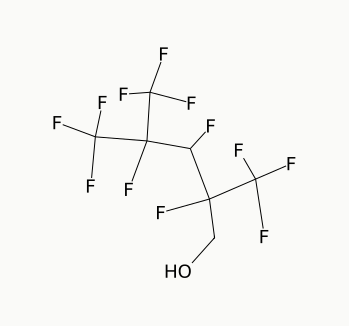 OCC(F)(C(F)C(F)(C(F)(F)F)C(F)(F)F)C(F)(F)F